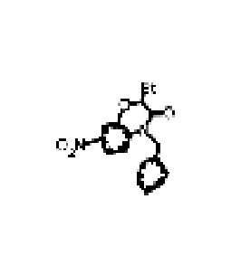 CCC1Oc2cc([N+](=O)[O-])ccc2N(Cc2ccccc2)C1=O